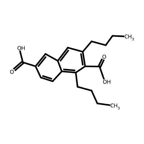 CCCCc1cc2cc(C(=O)O)ccc2c(CCCC)c1C(=O)O